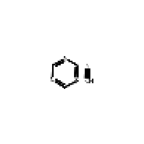 C#N.c1ncncn1